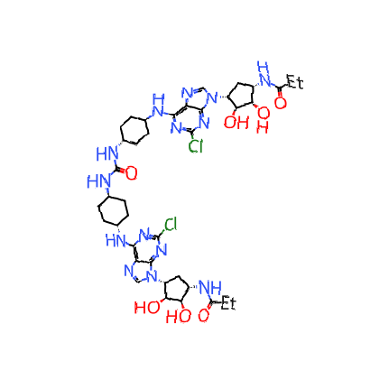 CCC(=O)N[C@H]1C[C@@H](n2cnc3c(N[C@H]4CC[C@H](NC(=O)N[C@H]5CC[C@H](Nc6nc(Cl)nc7c6ncn7[C@@H]6C[C@H](NC(=O)CC)[C@@H](O)[C@H]6O)CC5)CC4)nc(Cl)nc32)[C@H](O)[C@@H]1O